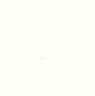 C=CCCCCCCO[C@@H]1OC2COC(c3ccccc3)O[C@@H]2C(O[C@@H]2OC3COC(c4ccccc4)O[C@@H]3C(O)[C@@H]2O[C@@H]2OC(C)[C@@H](OCCCC)C(OCCCC)[C@@H]2OCCCC)[C@@H]1OCCCC